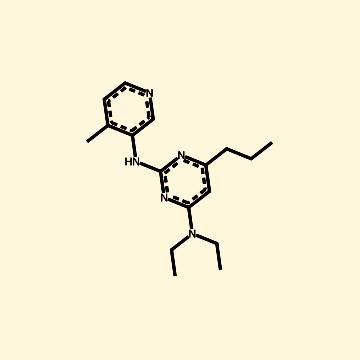 CCCc1cc(N(CC)CC)nc(Nc2cnccc2C)n1